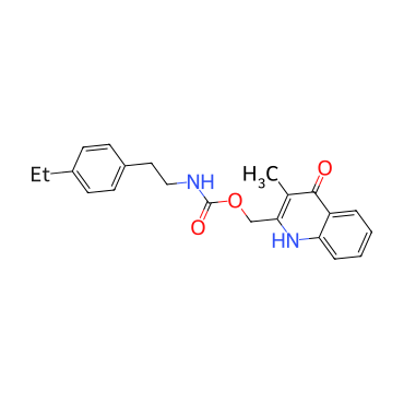 CCc1ccc(CCNC(=O)OCc2[nH]c3ccccc3c(=O)c2C)cc1